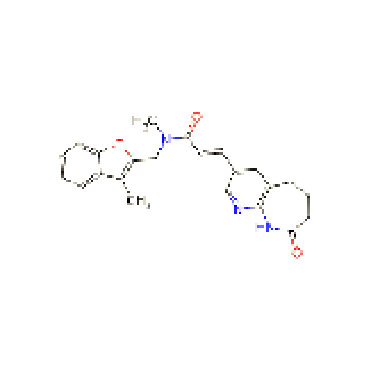 Cc1c(CN(C)C(=O)/C=C/c2cnc3c(c2)CCCC(=O)N3)oc2ccccc12